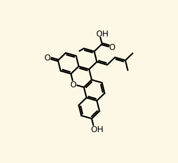 C/C=C(C(=O)O)\C(=C/C=C(C)C)c1c2ccc(=O)cc-2oc2c1ccc1cc(O)ccc12